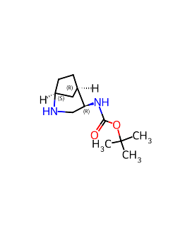 CC(C)(C)OC(=O)N[C@H]1CN[C@H]2CC[C@@H]1C2